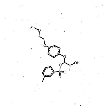 CCCOCCOc1ccc(OC(OS(=O)(=O)c2cccc(C)c2)C(C)O)cc1